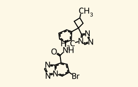 CC1CC(c2cccc(NC(=O)c3cc(Br)cn4ncnc34)c2)(c2nncn2C)C1